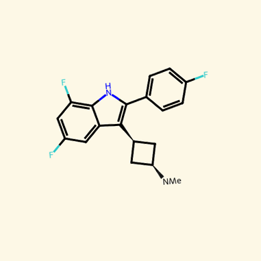 CN[C@H]1C[C@@H](c2c(-c3ccc(F)cc3)[nH]c3c(F)cc(F)cc32)C1